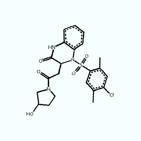 Cc1cc(S(=O)(=O)N2c3ccccc3NC(=O)C2CC(=O)N2CCC(O)C2)c(C)cc1Cl